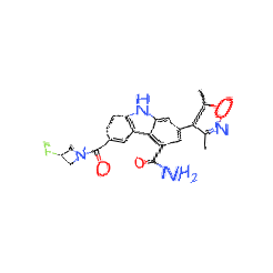 Cc1noc(C)c1-c1cc(C(N)=O)c2c(c1)[nH]c1ccc(C(=O)N3CC(F)C3)cc12